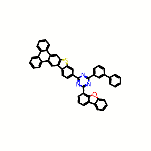 c1ccc(-c2cccc(-c3nc(-c4ccc5c(c4)sc4cc6c7ccccc7c7ccccc7c6cc45)nc(-c4cccc5c4oc4ccccc45)n3)c2)cc1